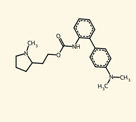 CN(C)c1ccc(-c2ccccc2NC(=O)OCCC2CCCN2C)cc1